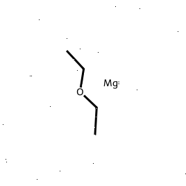 CCOCC.[Mg]